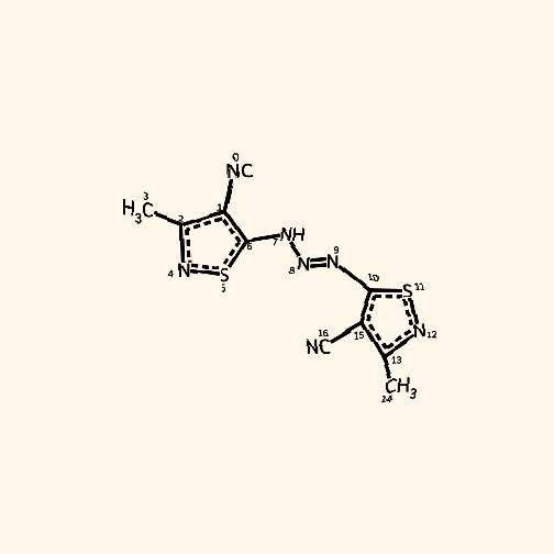 [C-]#[N+]c1c(C)nsc1NN=Nc1snc(C)c1C#N